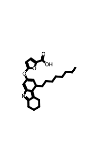 CCCCCCCCC1C=C(Oc2ccc(C(=O)O)o2)C=C2N=C3CCCCC3=C21